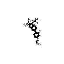 CC1(C)Cc2cc(-c3ccc(OCC(F)(F)F)cc3Cl)ccc2[C@@H]1OC(N)=O